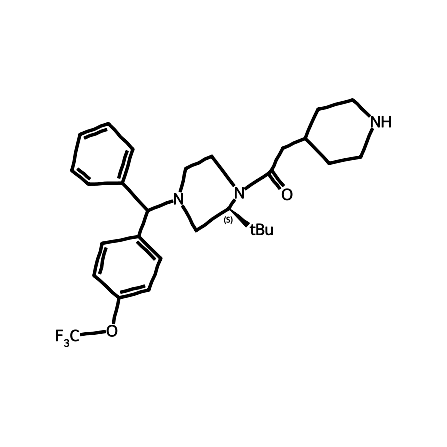 CC(C)(C)[C@H]1CN(C(c2ccccc2)c2ccc(OC(F)(F)F)cc2)CCN1C(=O)CC1CCNCC1